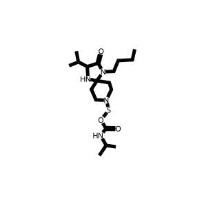 CCCCN1C(=O)C(C(C)C)NC12CCN(SOC(=O)NC(C)C)CC2